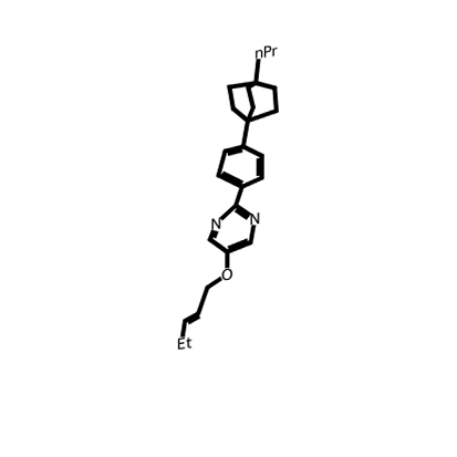 CC/C=C/COc1cnc(-c2ccc(C34CCC(CCC)(CC3)CC4)cc2)nc1